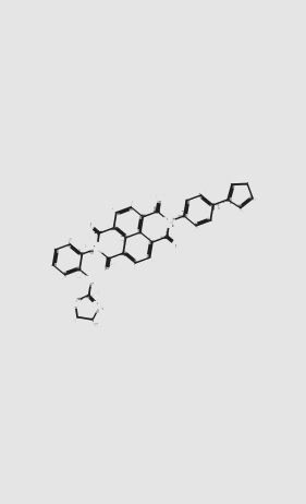 O=C1c2ccc3c4c(ccc(c24)C(=O)N1c1ccc(C2=CCC=C2)cc1)C(=O)N(c1ccccc1SC1=NCCS1)C3=O